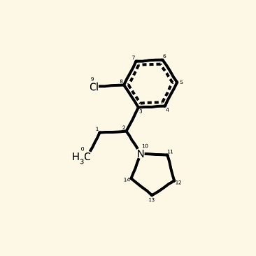 CCC(c1ccccc1Cl)N1CCCC1